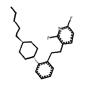 CCCCC[C@H]1CC[C@H](c2ccccc2CCc2ccc(F)nc2F)CC1